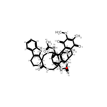 COC1=C(C)C(=O)C2=C(C1=O)C1C3[C@@H]4SC[C@]5(NCCc6c5[nH]c5ccccc65)C(=O)OC[C@@H](c5c6c(c(C)c(OC(C)=O)c54)OCO6)N3[C@@H](C#N)C(C2)N1C